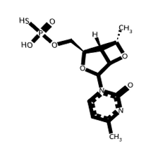 Cc1ccn(C2O[C@@]3(COP(=O)(O)S)[C@H]4C2O[C@@]43C)c(=O)n1